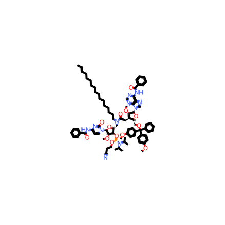 CCCCCCCCCCCCCCCCCN(C[C@H]1O[C@@H](n2ccc(NC(=O)c3ccccc3)nc2=O)[C@H](OC)[C@@H]1OP(OCCC#N)N(C(C)C)C(C)C)C(=O)C[C@H]1[C@@H](OC)[C@H](n2cnc3c(NC(=O)c4ccccc4)ncnc32)O[C@@H]1COC(c1ccccc1)(c1ccc(OC)cc1)c1ccc(OC)cc1